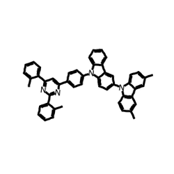 Cc1ccc2c(c1)c1cc(C)ccc1n2-c1ccc2c(c1)c1ccccc1n2-c1ccc(-c2cc(-c3ccccc3C)nc(-c3ccccc3C)n2)cc1